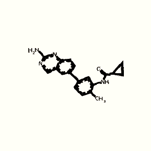 Cc1ccc(-c2ccc3nc(N)ncc3c2)cc1NC(=O)C1CC1